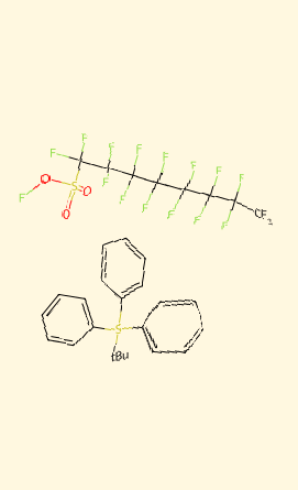 CC(C)(C)S(c1ccccc1)(c1ccccc1)c1ccccc1.O=S(=O)(OF)C(F)(F)C(F)(F)C(F)(F)C(F)(F)C(F)(F)C(F)(F)C(F)(F)C(F)(F)F